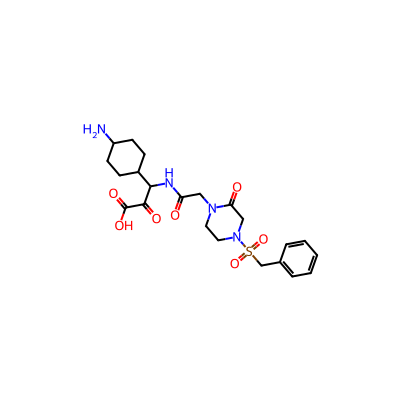 NC1CCC(C(NC(=O)CN2CCN(S(=O)(=O)Cc3ccccc3)CC2=O)C(=O)C(=O)O)CC1